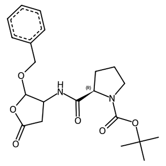 CC(C)(C)OC(=O)N1CCC[C@@H]1C(=O)NC1CC(=O)OC1OCc1ccccc1